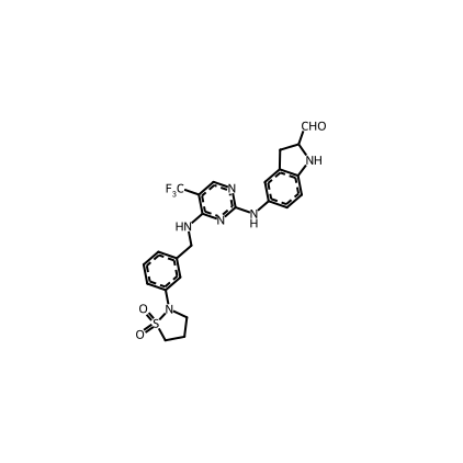 O=CC1Cc2cc(Nc3ncc(C(F)(F)F)c(NCc4cccc(N5CCCS5(=O)=O)c4)n3)ccc2N1